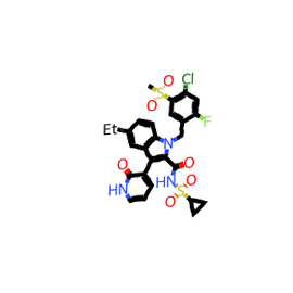 CCc1ccc2c(c1)c(-c1ccc[nH]c1=O)c(C(=O)NS(=O)(=O)C1CC1)n2Cc1cc(S(C)(=O)=O)c(Cl)cc1F